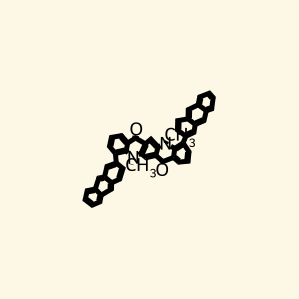 Cn1c2cc3c(=O)c4cccc(-c5ccc6cc7ccccc7cc6c5)c4n(C)c3cc2c(=O)c2cccc(-c3ccc4cc5ccccc5cc4c3)c21